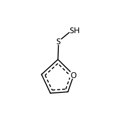 SSc1ccco1